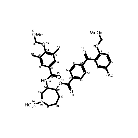 COCOc1ccc(C(C)=O)cc1C(=O)c1ccc(C(=O)O[C@@H]2CCCN(C(=O)O)C[C@H]2NC(=O)c2cc(C)c(OCOC)c(C)c2)cc1